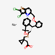 CC(C)(O)c1ccccc1[C@@H](CCSCC1(CC(=O)[O-])CC1)c1ccccc1OCc1ccc2sc(Cl)c(Cl)c2n1.[Na+]